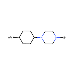 CCC[C@H]1CC[C@@H](N2CCN(C(C)C)CC2)CC1